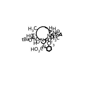 C[C@H]1CC/C=C\[C@@H]2C[C@@]2(C(=O)NS(=O)(=O)C2(C)CC2)NC(=O)[C@@H]2C[C@@H](N(C(=O)O)c3ccccc3C(F)(F)F)CN2C(=O)[C@@H](NC(=O)OC(C)(C)C)[C@H](C)C1